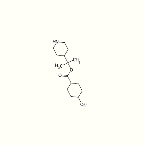 CC(C)(OC(=O)C1CCC(O)CC1)C1CCNCC1